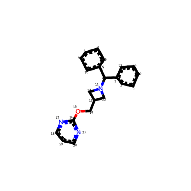 c1ccc(C(c2ccccc2)N2CC(COc3ncccn3)C2)cc1